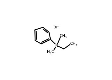 CC[N+](C)(C)c1ccccc1.[Br-]